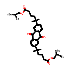 CCCCC(CC)COC(=O)CCCC(C)(C)c1ccc2c(c1)C(=O)c1ccc(C(C)(C)CCCC(=O)OCC(CC)CCCC)cc1C2=O